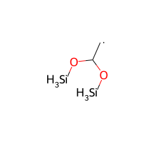 [CH2]C(O[SiH3])O[SiH3]